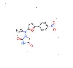 C=[N+](c1ccc(-c2ccc([N+](=O)[O-])cc2)o1)N1CC(=O)NC1=O